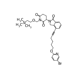 C[Si](C)(C)CCOCN1C(=O)CCC(N2Cc3c(C#CCCCCOc4ccc(Br)cn4)cccc3C2=O)C1=O